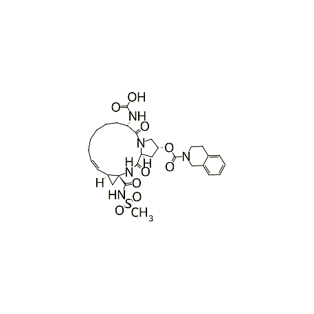 CS(=O)(=O)NC(=O)[C@@]12C[C@H]1/C=C\CCCCC[C@H](NC(=O)O)C(=O)N1C[C@H](OC(=O)N3CCc4ccccc4C3)C[C@H]1C(=O)N2